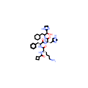 NCCCC[C@H](NC(=O)C1CCC1)C(=O)N[C@@H](Cc1ccccc1)C(=O)N[C@@H](Cc1c[nH]cn1)C(=O)NC(CC1CCCCC1)C(O)c1ncc[nH]1